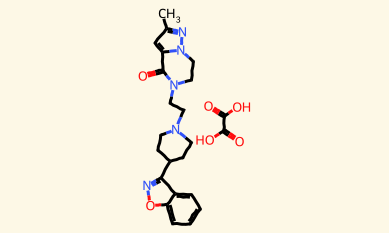 Cc1cc2n(n1)CCN(CCN1CCC(c3noc4ccccc34)CC1)C2=O.O=C(O)C(=O)O